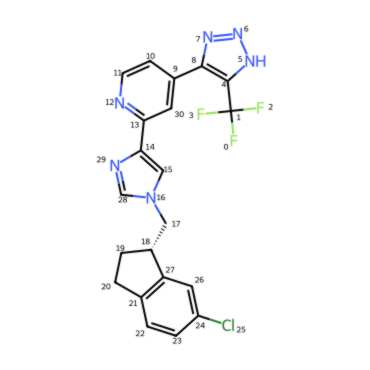 FC(F)(F)c1[nH]nnc1-c1ccnc(-c2cn(C[C@H]3CCc4ccc(Cl)cc43)cn2)c1